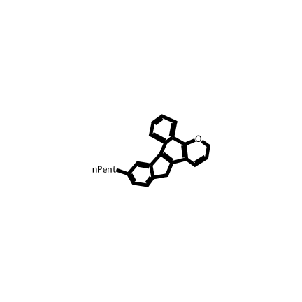 CCCCCc1ccc2c(c1)-c1c(c3c(c4ccccc14)OCC=C3)C2